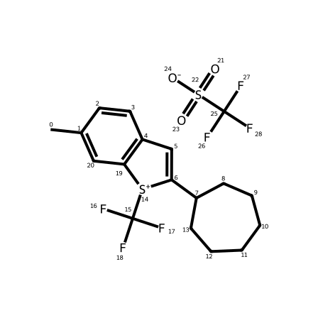 Cc1ccc2cc(C3CCCCCC3)[s+](C(F)(F)F)c2c1.O=S(=O)([O-])C(F)(F)F